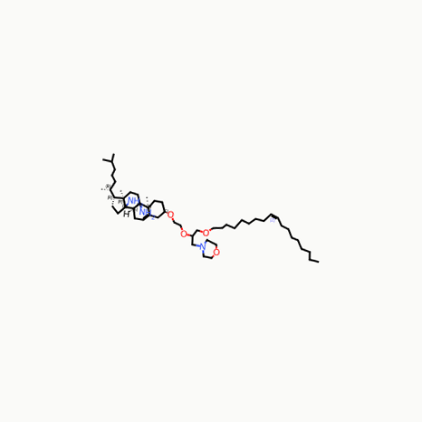 CCCCCCCC/C=C\CCCCCCCCOCC(CN1CCOCC1)OCCO[C@H]1CC[C@@]2(C)C(=CC[C@@H]3[C@]2(N)CC[C@]2(C)[C@@H]([C@H](C)CCCC(C)C)CC[C@@]32N)C1